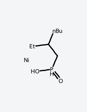 CCCCC(CC)C[PH](=O)O.[Ni]